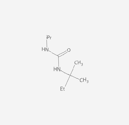 CCC(C)(C)NC(=O)NC(C)C